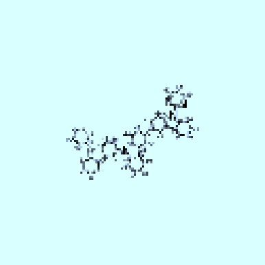 c1ccc(C2c3ccccc3-c3cc(-n4c5ccccc5c5cc(-c6ccc7c(c6)c6ccccc6n7-c6ncccn6)ccc54)ccc32)cc1